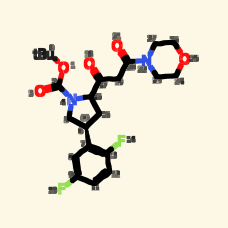 CC(C)(C)OC(=O)N1C[C@H](c2cc(F)ccc2F)CC1C(=O)CC(=O)N1CCOCC1